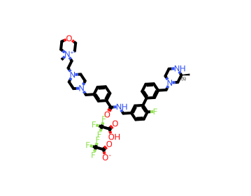 C[C@H]1CN(Cc2cccc(-c3cc(CNC(=O)c4cccc(CN5CCN(CC[N+]6(C)CCOCC6)CC5)c4)ccc3F)c2)CCN1.O=C(O)C(F)(F)F.O=C([O-])C(F)(F)F